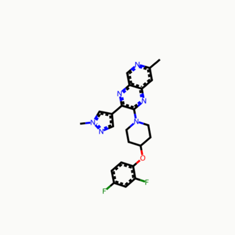 Cc1cc2nc(N3CCC(Oc4ccc(F)cc4F)CC3)c(-c3cnn(C)c3)nc2cn1